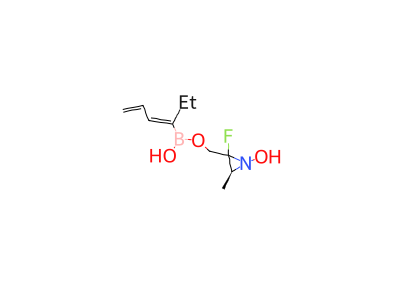 C=C/C=C(\CC)B(O)OCC1(F)[C@H](C)N1O